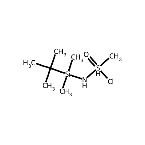 CC(C)(C)[Si](C)(C)N[SH](C)(=O)Cl